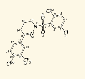 O=S(=O)(c1cc(Cl)ccc1Cl)N1CCCC(c2ccc(Cl)c(C(F)(F)F)c2)=N1